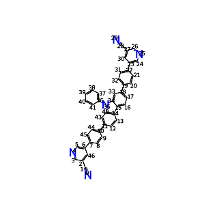 N#Cc1cncc(-c2ccc(-c3ccc4c5ccc(-c6ccc(-c7cncc(C#N)c7)cc6)cc5n(-c5ccccc5)c4c3)cc2)c1